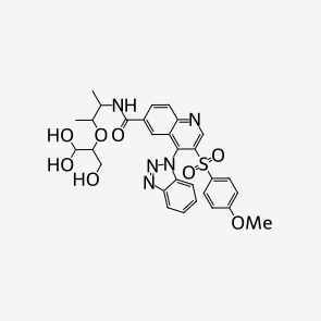 COc1ccc(S(=O)(=O)c2cnc3ccc(C(=O)NC(C)C(C)OC(CO)C(O)O)cc3c2-n2nnc3ccccc32)cc1